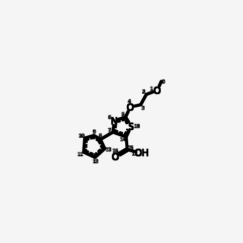 COCCOc1nc(-c2ccccc2)c(C(=O)O)s1